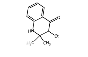 CCC1C(=O)c2ccccc2NC1(C)C